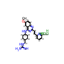 COc1ccc2nc(/C=C/c3ccccn3)nc(NC3CCC(CNC(=N)N)CC3)c2c1.Cl.Cl.Cl